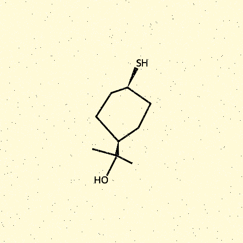 CC(C)(O)[C@H]1CC[C@@H](S)CC1